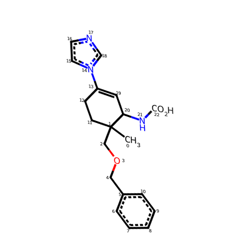 CC1(COCc2ccccc2)CCC(n2ccnc2)=CC1NC(=O)O